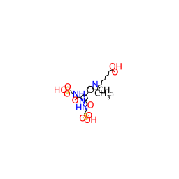 CC1(C)C(CCCCCCC(=O)O)=Nc2ccc(-c3cc(C(=O)NCCS(=O)(=O)O)nc(C(=O)NCCS(=O)(=O)O)c3)cc21